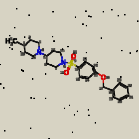 CC1CCN(C2CCN(S(=O)(=O)c3ccc(OCc4ccccc4)cc3)CC2)CC1